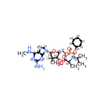 CNc1nc(N)nc2c1ncn2[C@@H]1O[C@H](COP(=O)(Oc2ccccc2)N(C(C)C)[C@@H](C)C(=O)O)[C@@H](O)[C@@]1(C)F